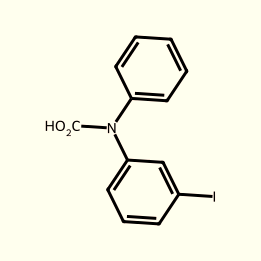 O=C(O)N(c1ccccc1)c1cccc(I)c1